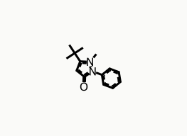 Cn1c(C(C)(C)C)cc(=O)n1-c1ccccc1